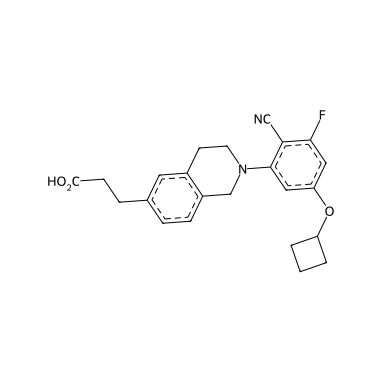 N#Cc1c(F)cc(OC2CCC2)cc1N1CCc2cc(CCC(=O)O)ccc2C1